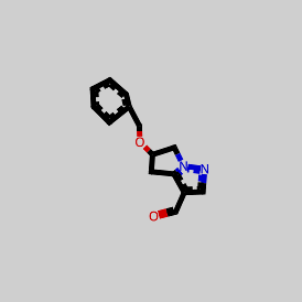 O=Cc1cnn2c1CC(OCc1ccccc1)C2